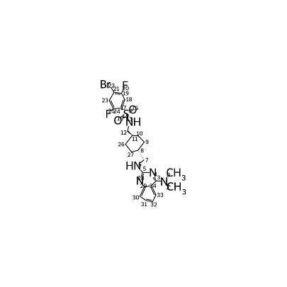 CN(C)c1nc(NC[C@H]2CC[C@H](CNS(=O)(=O)c3cc(F)c(Br)cc3F)CC2)nc2ccccc12